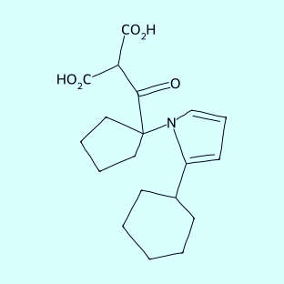 O=C(O)C(C(=O)O)C(=O)C1(n2cccc2C2CCCCC2)CCCC1